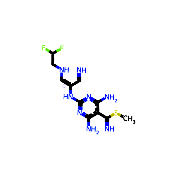 CSC(=N)c1c(N)nc(N/C(C=N)=C/NCC(F)F)nc1N